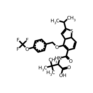 CC(C)C1=CC2C(OCc3ccc(OC(F)(F)F)cc3)=C(C(=O)NC(C(=O)O)C(C)(C)C)C=CC2S1